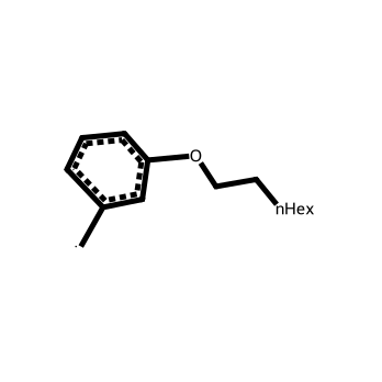 [CH2]c1cccc(OCCCCCCCC)c1